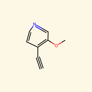 C#Cc1ccncc1OC